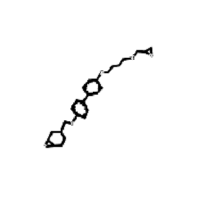 c1cc(-c2ccc(OCC3CCC4OC4C3)cc2)ccc1OCCCCOCC1CO1